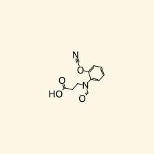 N#COc1ccccc1N(C=O)CCC(=O)O